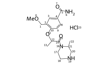 COCc1cc(C(N)=O)ccc1OC(C)C(=O)N1CCNCC1C.Cl